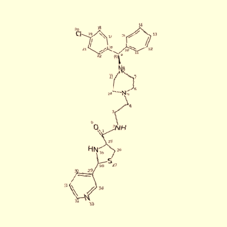 O=C(NCCN1CCN([C@H](c2ccccc2)c2ccc(Cl)cc2)CC1)C1CSC(c2cccnc2)N1